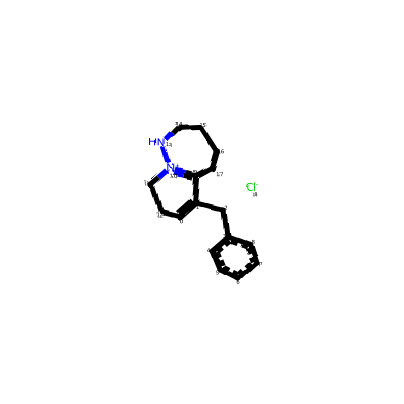 C1=C(Cc2ccccc2)C2=[N+](CC1)NCCCC2.[Cl-]